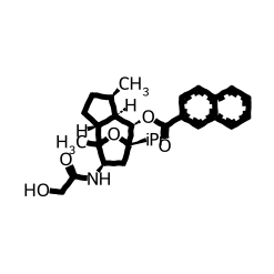 CC(C)[C@@]12C[C@@H](NC(=O)CO)C(C)(O1)[C@@H]1CC[C@@H](C)[C@H]1[C@@H]2OC(=O)c1ccc2ccccc2c1